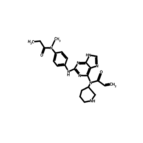 C=CC(=O)N(c1nc(Nc2ccc(N(C)C(=O)CC)cc2)nc2[nH]cnc12)C1CCCNC1